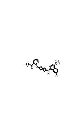 COc1cnc(NC2CC3(C2)CC(Oc2ncccc2C(N)=O)C3)c2cc(Cl)ccc12